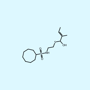 CC=C(C)C(O)SCCNS(=O)(=O)C1CCCCCCC1